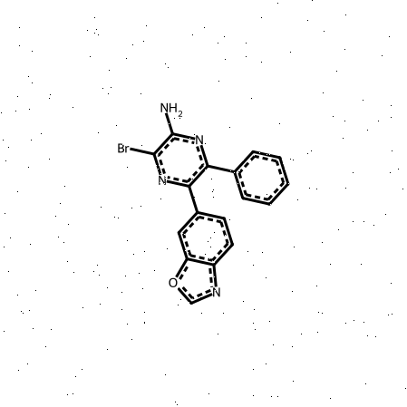 Nc1nc(-c2ccccc2)c(-c2ccc3ncoc3c2)nc1Br